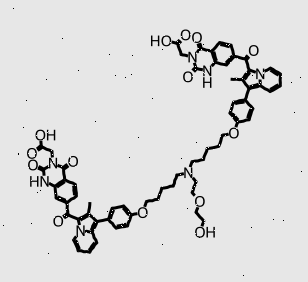 Cc1c(-c2ccc(OCCCCCN(CCCCCOc3ccc(-c4c(C)c(C(=O)c5ccc6c(=O)n(CC(=O)O)c(=O)[nH]c6c5)n5ccccc45)cc3)CCOCCO)cc2)c2ccccn2c1C(=O)c1ccc2c(=O)n(CC(=O)O)c(=O)[nH]c2c1